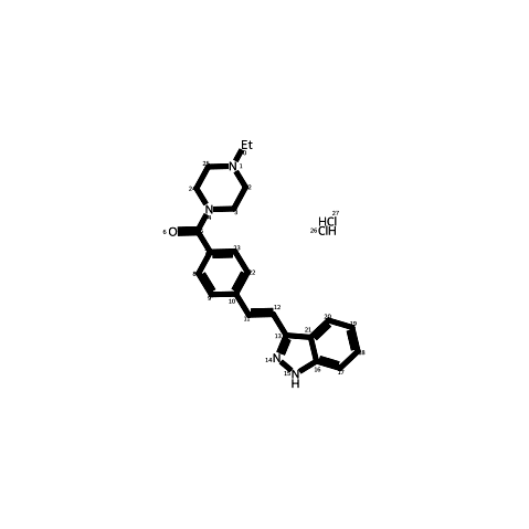 CCN1CCN(C(=O)c2ccc(C=Cc3n[nH]c4ccccc34)cc2)CC1.Cl.Cl